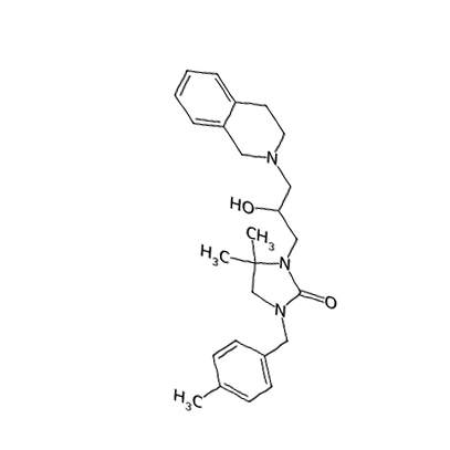 Cc1ccc(CN2CC(C)(C)N(CC(O)CN3CCc4ccccc4C3)C2=O)cc1